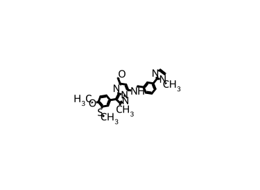 COc1ccc(-c2c(C)nn3c(NCc4cccc(-c5nccn5C)c4)cc(C=O)nc23)cc1SC